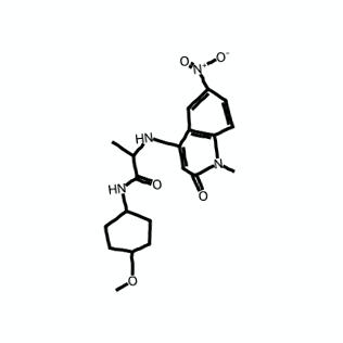 COC1CCC(NC(=O)C(C)Nc2cc(=O)n(C)c3ccc([N+](=O)[O-])cc23)CC1